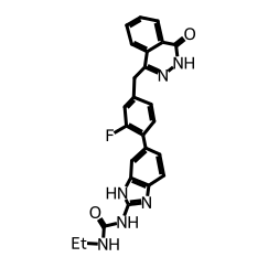 CCNC(=O)Nc1nc2ccc(-c3ccc(Cc4n[nH]c(=O)c5ccccc45)cc3F)cc2[nH]1